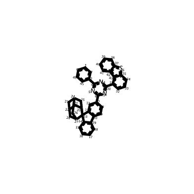 c1ccc(-c2nc(-c3ccc4c(c3)C3(c5ccccc5-4)C4CC5CC(C4)CC3C5)nc(-c3cccc4sc5ccccc5c34)n2)cc1